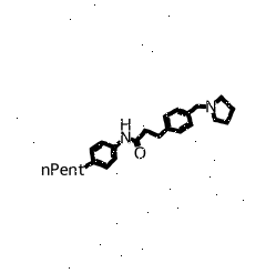 CCCCCc1ccc(NC(=O)CCc2ccc(CN3CCCC3)cc2)cc1